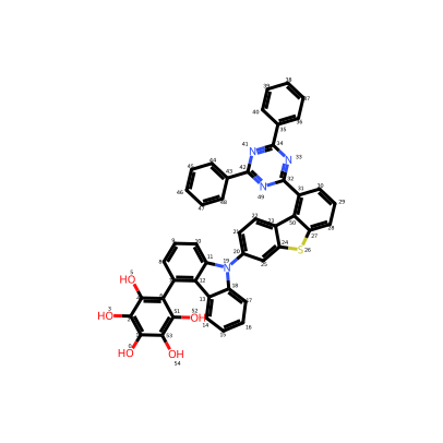 Oc1c(O)c(O)c(-c2cccc3c2c2ccccc2n3-c2ccc3c(c2)sc2cccc(-c4nc(-c5ccccc5)nc(-c5ccccc5)n4)c23)c(O)c1O